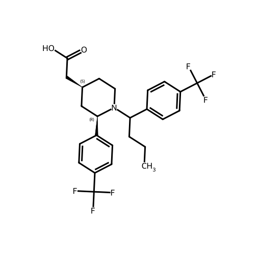 CCCC(c1ccc(C(F)(F)F)cc1)N1CC[C@H](CC(=O)O)C[C@@H]1c1ccc(C(F)(F)F)cc1